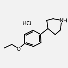 CCOc1ccc(C2CCNCC2)cc1.Cl